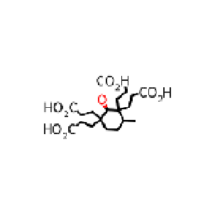 CC1CCC(CCC(=O)O)(CCC(=O)O)C(=O)C1(CCC(=O)O)CCC(=O)O